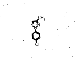 Cc1[c]nn(-c2ccc(Cl)cc2)n1